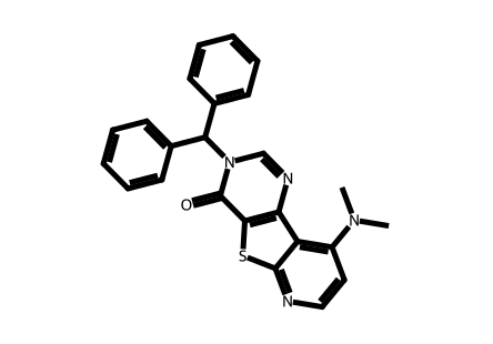 CN(C)c1ccnc2sc3c(=O)n(C(c4ccccc4)c4ccccc4)cnc3c12